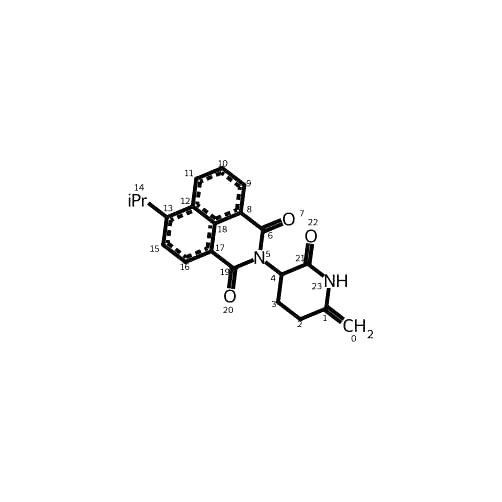 C=C1CCC(N2C(=O)c3cccc4c(C(C)C)ccc(c34)C2=O)C(=O)N1